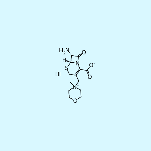 C[N+]1(CC2=C(C(=O)[O-])N3C(=O)[C@@H](N)[C@H]3SC2)CCOCC1.I